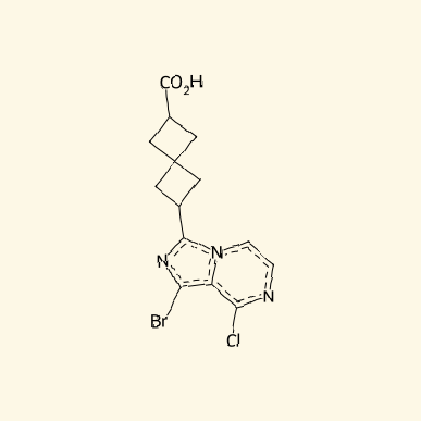 O=C(O)C1CC2(C1)CC(c1nc(Br)c3c(Cl)nccn13)C2